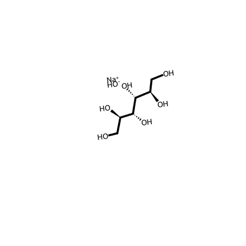 OC[C@@H](O)[C@@H](O)[C@H](O)[C@H](O)CO.[Na+].[OH-]